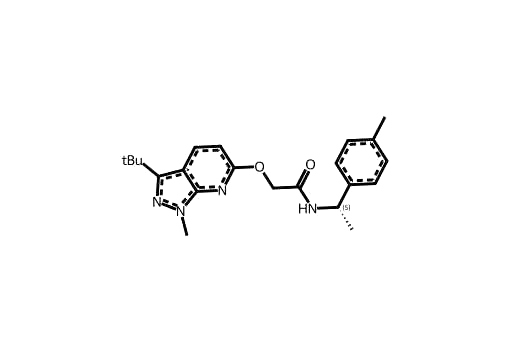 Cc1ccc([C@H](C)NC(=O)COc2ccc3c(C(C)(C)C)nn(C)c3n2)cc1